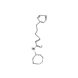 O=C(C=CCCCc1ccccc1)NC1CCCCCC1